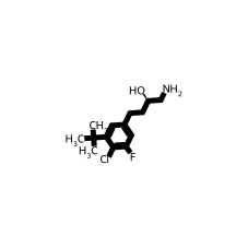 CC(C)(C)c1cc(CC[C@H](O)CN)cc(F)c1Cl